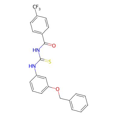 O=C(NC(=S)Nc1cccc(OCc2ccccc2)c1)c1ccc(C(F)(F)F)cc1